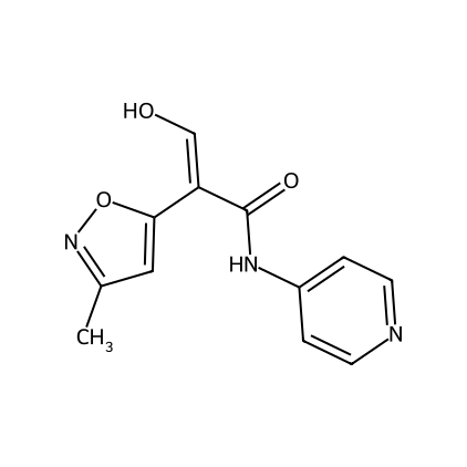 Cc1cc(C(=CO)C(=O)Nc2ccncc2)on1